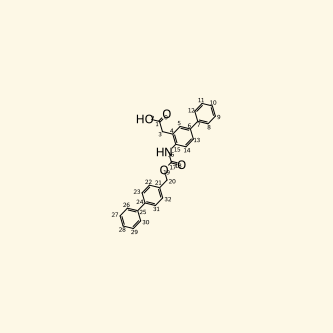 O=C(O)Cc1cc(-c2ccccc2)ccc1NC(=O)OCc1ccc(-c2ccccc2)cc1